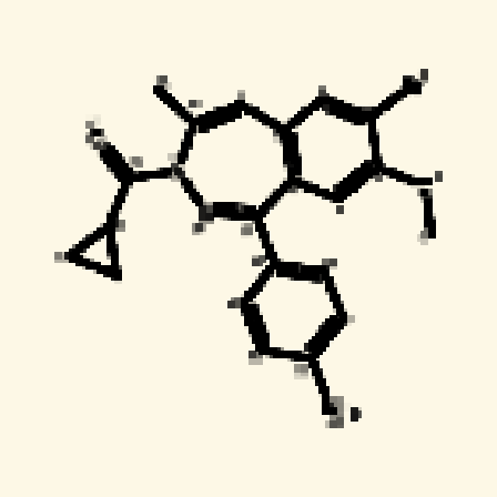 COc1cc2c(cc1Br)C=C(C)N(C(=O)C1CC1)N=C2c1ccc(N)cc1